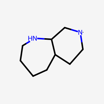 C1CCC2CC[N]CC2NC1